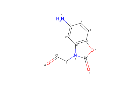 Nc1ccc2oc(=O)n(CC=O)c2c1